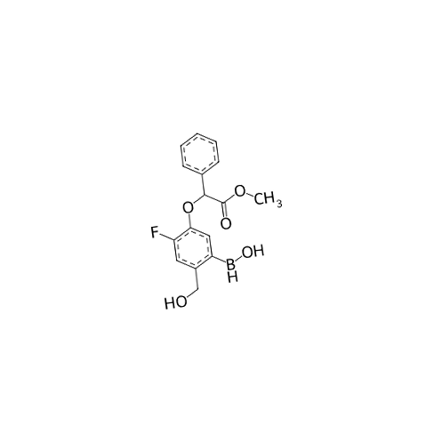 COC(=O)C(Oc1cc(BO)c(CO)cc1F)c1ccccc1